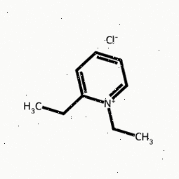 CCc1cccc[n+]1CC.[Cl-]